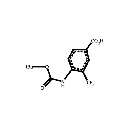 CC(C)(C)OC(=O)Nc1ccc(C(=O)O)cc1C(F)(F)F